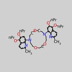 CCCOc1cc(N2CCOCCOCCN(c3cc(OCCC)c(OCCC)c4ccc(C)nc34)CCOCC2)c2nc(C)ccc2c1OCCC